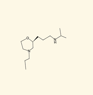 CCCN1CCO[C@@H](CCCNC(C)C)C1